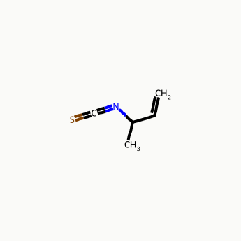 C=CC(C)N=C=S